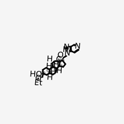 CCOC[C@@]1(O)CC[C@H]2[C@@H](CC[C@@H]3[C@@H]2CC[C@]2(C)[C@@H](C(=O)Cn4nnc5cnccc54)CC[C@@H]32)C1